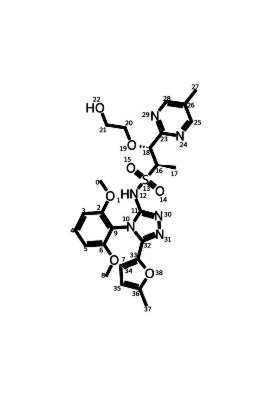 COc1cccc(OC)c1-n1c(NS(=O)(=O)[C@H](C)[C@H](OCCO)c2ncc(C)cn2)nnc1-c1ccc(C)o1